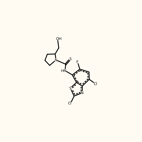 OCC1CCCN1C(=S)Nc1c(F)cc(Cl)c2nc(Cl)sc12